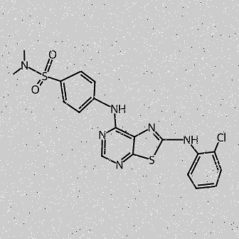 CN(C)S(=O)(=O)c1ccc(Nc2ncnc3sc(Nc4ccccc4Cl)nc23)cc1